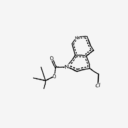 CC(C)(C)OC(=O)n1cc(CCl)c2ccncc21